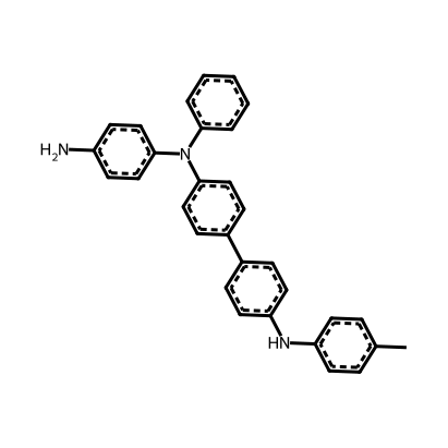 Cc1ccc(Nc2ccc(-c3ccc(N(c4ccccc4)c4ccc(N)cc4)cc3)cc2)cc1